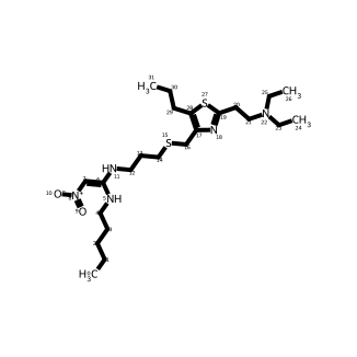 CCCCCNC(=C[N+](=O)[O-])NCCCSCc1nc(CCN(CC)CC)sc1CCC